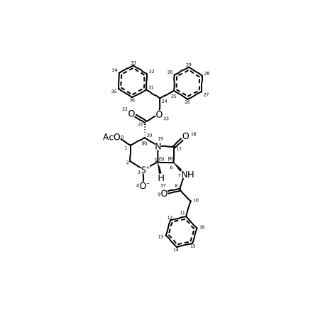 CC(=O)OC1C[S+]([O-])[C@H]2[C@H](NC(=O)Cc3ccccc3)C(=O)N2[C@H]1C(=O)OC(c1ccccc1)c1ccccc1